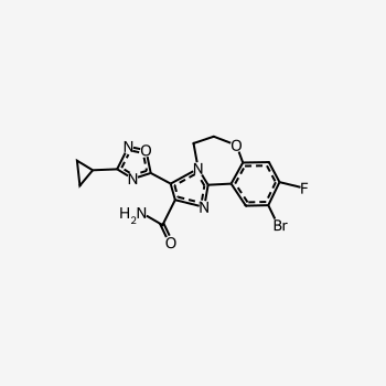 NC(=O)c1nc2n(c1-c1nc(C3CC3)no1)CCOc1cc(F)c(Br)cc1-2